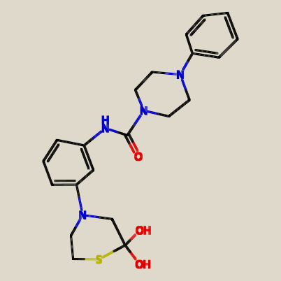 O=C(Nc1cccc(N2CCSC(O)(O)C2)c1)N1CCN(c2ccccc2)CC1